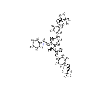 CC(C)(C)[Si](C)(C)Oc1ccc(CC(=O)Nc2ncc(-c3ccc(O[Si](C)(C)C(C)(C)C)cc3)nc2/C=C/c2ccccc2)cc1